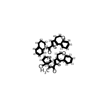 CN(C(=O)c1cc2c(s1)-c1ccccc1OCC2)c1cnccc1Cl.O=C(c1cc2c(s1)-c1ccccc1OCC2)N1CCCc2ccccc21